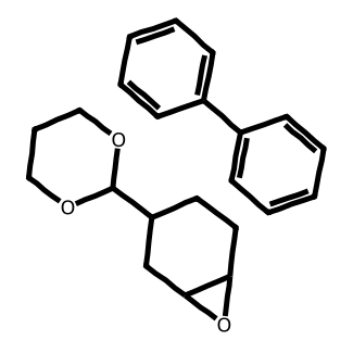 C1COC(C2CCC3OC3C2)OC1.c1ccc(-c2ccccc2)cc1